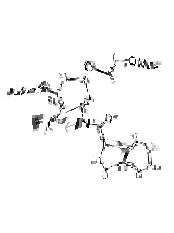 COCCOc1cc(NC(=O)N2CCc3ccccc32)c(C(F)(F)F)c(SC)c1